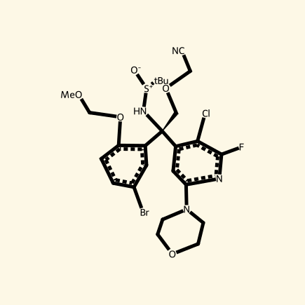 COCOc1ccc(Br)cc1[C@](COCC#N)(N[S+]([O-])C(C)(C)C)c1cc(N2CCOCC2)nc(F)c1Cl